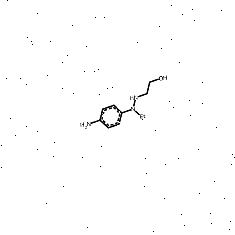 CCN(NCCO)c1ccc(N)cc1